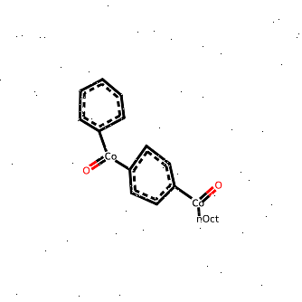 CCCCCCC[CH2][Co](=[O])[c]1cc[c]([Co](=[O])[c]2ccccc2)cc1